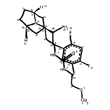 COCCNC(=O)NCCCN1[C@@H]2CC[C@H]1C[C@H](C(N)Cc1cc(F)c(F)cc1F)C2